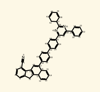 N#Cc1cccc2c1C1=C(C2)C2C=CC=CC2C(c2ccc(-c3ccc(-c4cc(-c5ccccc5)nc(C5C=CC=CC5)n4)cc3)cc2)=C1